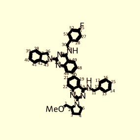 COCC1CCCN1c1nc(NCc2ccccc2)c2ccccc2n1.Fc1ccc(CNc2nc(N3Cc4ccccc4C3)nc3ccccc23)cc1